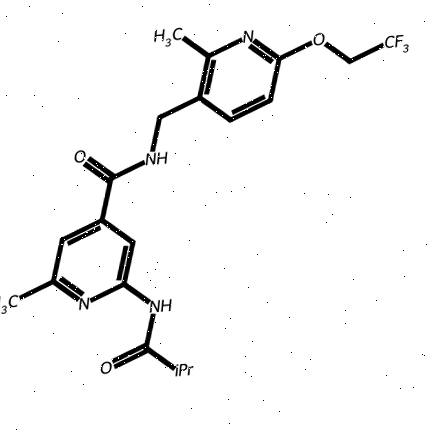 Cc1cc(C(=O)NCc2ccc(OCC(F)(F)F)nc2C)cc(NC(=O)C(C)C)n1